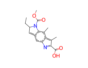 CCC1C=c2cc3c(c(C)c2N1C(=O)OC)=C(C)C(C(=O)O)=N3